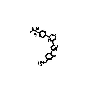 CNCc1ccc(-c2cc(-c3cncc(-c4ccc(S(=O)(=O)C(C)C)cc4)n3)on2)c(C)c1